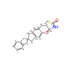 CC1(Cc2ccccc2)Cc2ccc(CC3SC(=O)NC3=O)cc2C1